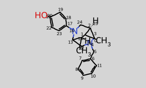 CC1[C@@H]2CN(Cc3ccccc3)CC([C@H]1C)N(c1ccc(O)cc1)C2